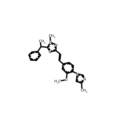 COc1cc(C=Cc2nc(C(C)c3ccccc3)n(C)n2)ccc1-n1cnc(C)c1